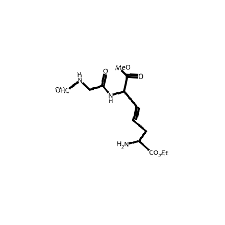 CCOC(=O)C(N)C/C=C/C(NC(=O)CNC=O)C(=O)OC